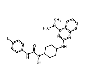 CN(C)c1nc(NC2CCC(N(S)C(=O)Nc3ccc(I)cc3)CC2)nc2ccccc12